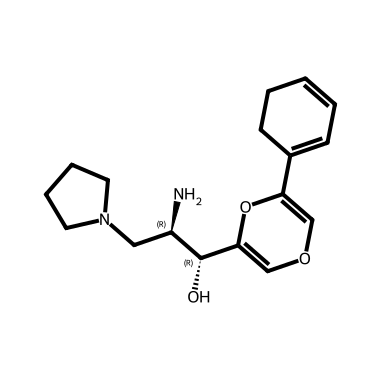 N[C@H](CN1CCCC1)[C@@H](O)C1=COC=C(C2=CC=CCC2)O1